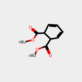 CCCCOC(=O)C1C=CC=CC1C(=O)OCCCC